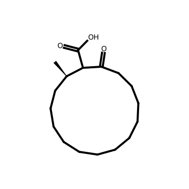 C[C@@H]1CCCCCCCCCCCCC(=O)C1C(=O)O